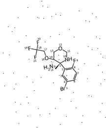 C[C@]1(c2cc(Br)ccc2F)NCOC[C@]1(N)OCC(F)(F)F